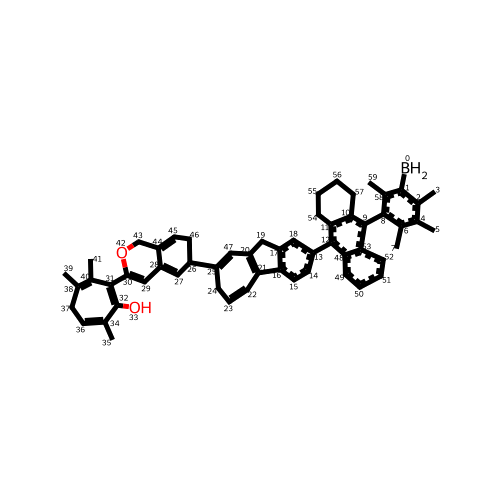 Bc1c(C)c(C)c(C)c(-c2c3c(c(-c4ccc5c(c4)CC4=C5C=CCC(C5C=C6C=C(C7=C(O)C(C)=CCC(C)=C7C)OCC6=CC5)=C4)c4ccccc24)CCCC3)c1C